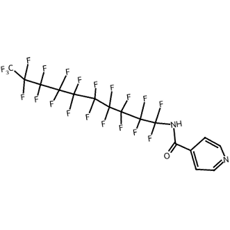 O=C(NC(F)(F)C(F)(F)C(F)(F)C(F)(F)C(F)(F)C(F)(F)C(F)(F)C(F)(F)C(F)(F)C(F)(F)F)c1ccncc1